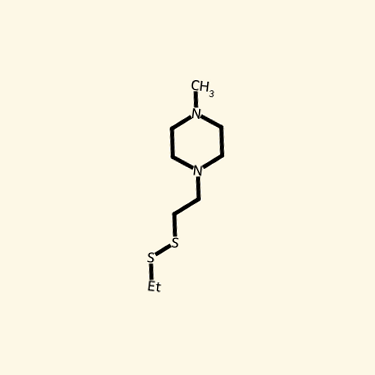 [CH2]CSSCCN1CCN(C)CC1